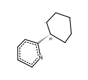 [CH]1CCCC[C@@H]1c1ccccn1